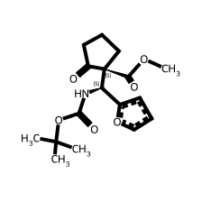 COC(=O)[C@]1([C@H](NC(=O)OC(C)(C)C)c2ccco2)CCCC1=O